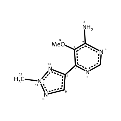 COc1c(N)ncnc1-c1cnn(C)n1